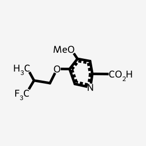 COc1cc(C(=O)O)ncc1OCC(C)C(F)(F)F